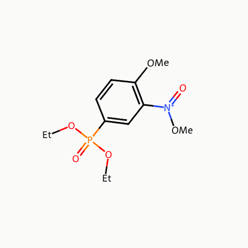 CCOP(=O)(OCC)c1ccc(OC)c([N+](=O)OC)c1